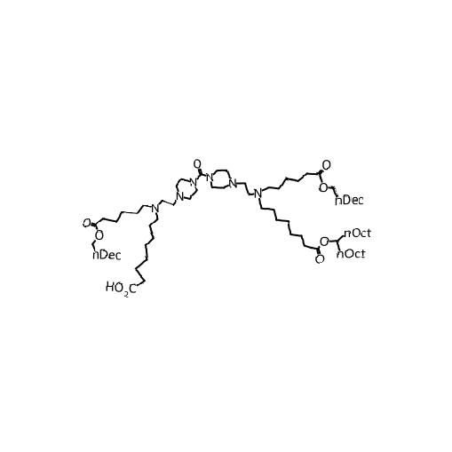 CCCCCCCCCCCOC(=O)CCCCCN(CCCCCCCC(=O)O)CCN1CCN(C(=O)N2CCN(CCN(CCCCCCCC(=O)OC(CCCCCCCC)CCCCCCCC)CCCCCC(=O)OCCCCCCCCCCC)CC2)CC1